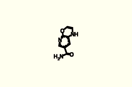 NC(=O)c1cnc2c(c1)NC=CO2